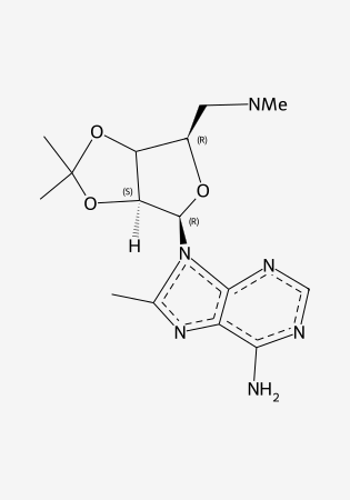 CNC[C@H]1O[C@@H](n2c(C)nc3c(N)ncnc32)[C@H]2OC(C)(C)OC12